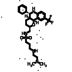 CN(C)CCNCCCS(=O)(=O)NC[C@H]1CC[C@@H]2[C@H](O1)c1cc(C(F)(F)F)ccc1N[C@H]2C1C=CC=CC1